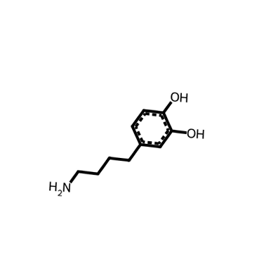 NCCCCc1ccc(O)c(O)c1